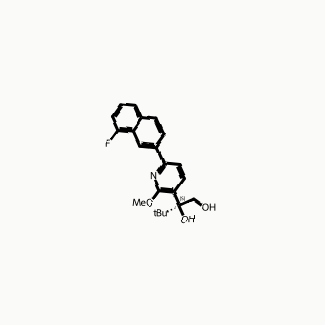 COc1nc(-c2ccc3cccc(F)c3c2)ccc1[C@](O)(CO)C(C)(C)C